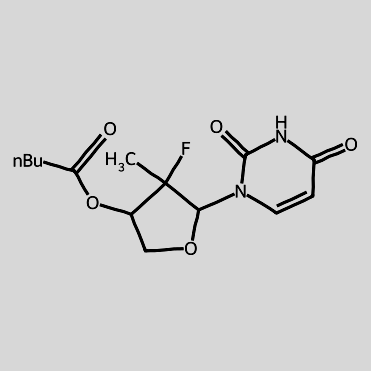 CCCCC(=O)OC1COC(n2ccc(=O)[nH]c2=O)C1(C)F